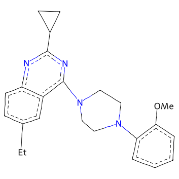 CCc1ccc2nc(C3CC3)nc(N3CCN(c4ccccc4OC)CC3)c2c1